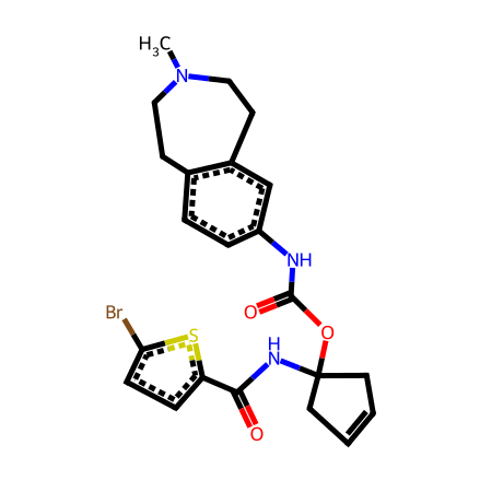 CN1CCc2ccc(NC(=O)OC3(NC(=O)c4ccc(Br)s4)CC=CC3)cc2CC1